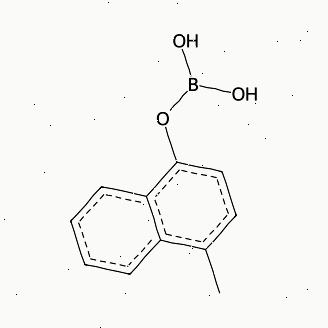 Cc1ccc(OB(O)O)c2ccccc12